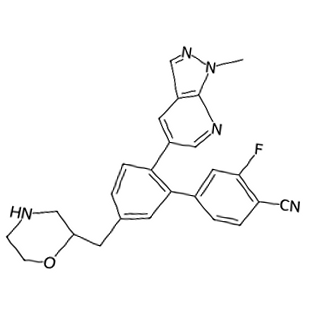 Cn1ncc2cc(-c3ccc(CC4CNCCO4)cc3-c3ccc(C#N)c(F)c3)cnc21